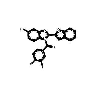 O=C(c1ccc(F)c(F)c1)n1c(-c2cc3ccccc3o2)nc2cc(Cl)ccc21